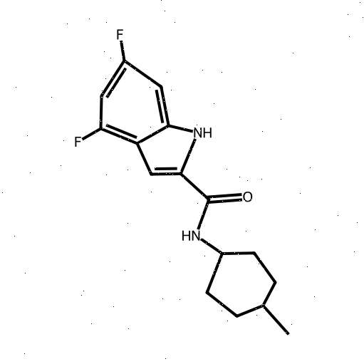 CC1CCC(NC(=O)c2cc3c(F)cc(F)cc3[nH]2)CC1